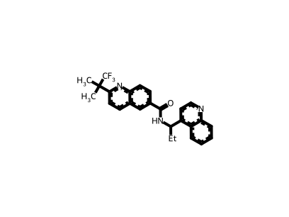 CCC(NC(=O)c1ccc2nc(C(C)(C)C(F)(F)F)ccc2c1)c1ccnc2ccccc12